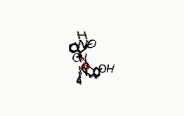 C[C@H]1CC23CCC(N(C)C(=O)c4cc(=O)[nH]c5ccccc45)C1C21CCN(CC2CC2)C3Cc2ccc(O)cc21